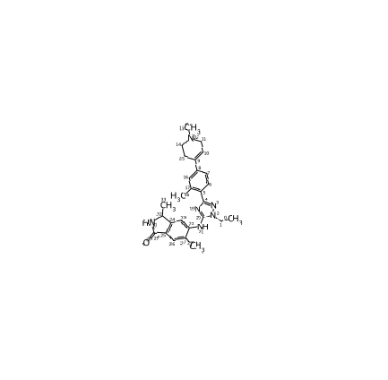 CCn1nc(-c2ccc(C3=CCN(C)CC3)cc2C)nc1Nc1cc2c(cc1C)C(=O)NC2C